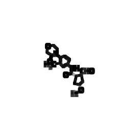 CCO[C@H]1CC(C=O)[C@@H](C(=O)Nc2ccc(N3CCOCC3=O)c(C)c2)C1